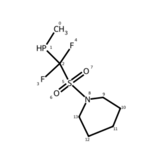 CPC(F)(F)S(=O)(=O)N1CCCCC1